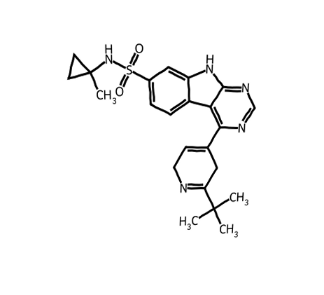 CC1(NS(=O)(=O)c2ccc3c(c2)[nH]c2ncnc(C4=CCN=C(C(C)(C)C)C4)c23)CC1